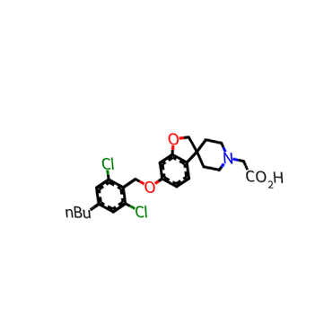 CCCCc1cc(Cl)c(COc2ccc3c(c2)OCC32CCN(CC(=O)O)CC2)c(Cl)c1